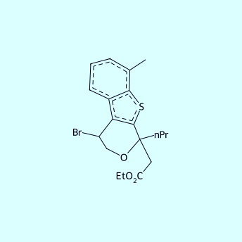 CCCC1(CC(=O)OCC)OCC(Br)c2c1sc1c(C)cccc21